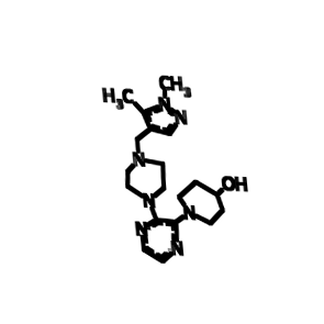 Cc1c(CN2CCN(c3nccnc3N3CCC(O)CC3)CC2)cnn1C